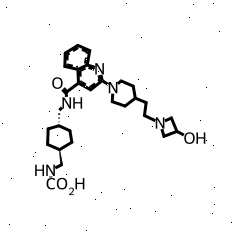 O=C(O)NC[C@H]1CC[C@H](CNC(=O)c2cc(N3CCC(CCN4CC(O)C4)CC3)nc3ccccc23)CC1